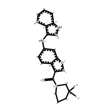 O=C(c1noc2cc(Nc3n[nH]c4cccnc34)ccc12)N1CCCC(F)(F)C1